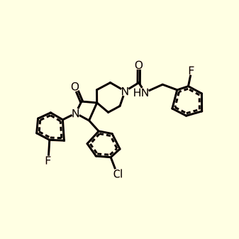 O=C(NCc1ccccc1F)N1CCC2(CC1)C(=O)N(c1cccc(F)c1)C2c1ccc(Cl)cc1